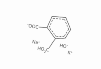 O=C([O-])c1ccccc1C(=O)O.[K+].[Na+].[OH-]